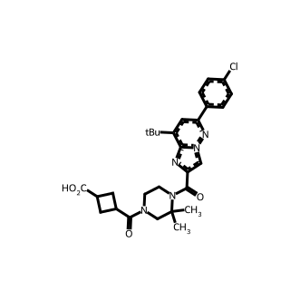 CC(C)(C)c1cc(-c2ccc(Cl)cc2)nn2cc(C(=O)N3CCN(C(=O)C4CC(C(=O)O)C4)CC3(C)C)nc12